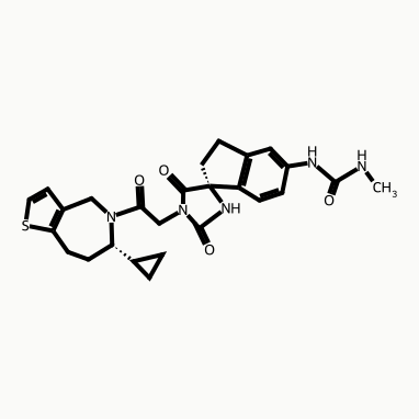 CNC(=O)Nc1ccc2c(c1)CC[C@@]21NC(=O)N(CC(=O)N2Cc3ccsc3CC[C@H]2C2CC2)C1=O